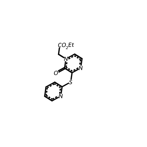 CCOC(=O)Cn1ccnc(Sc2ccccn2)c1=O